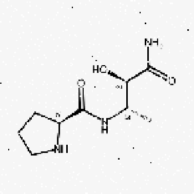 C[C@H](NC(=O)[C@@H]1CCCN1)[C@@H](O)C(N)=O